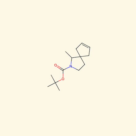 CC1N(C(=O)OC(C)(C)C)CCC12CC=CC2